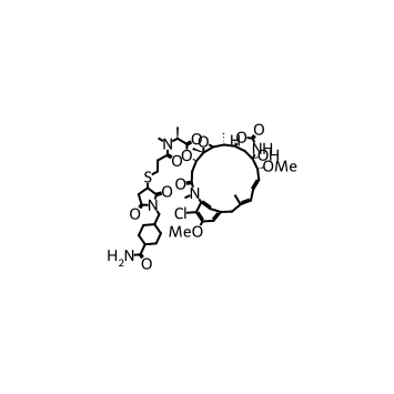 COc1cc2cc(c1Cl)N(C)C(=O)C[C@H](OC(=O)[C@H](C)N(C)C(=O)CCSC1CC(=O)N(CC3CCC(C(N)=O)CC3)C1=O)[C@]1(C)OC1[C@H](C)[C@@H]1C[C@@](O)(NC(=O)O1)[C@H](OC)/C=C/C=C(\C)C2